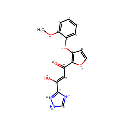 COc1ccccc1Oc1ccoc1C(=O)C=C(O)c1nc[nH]n1